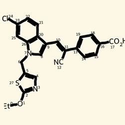 CCOc1ncc(Cn2cc(/C=C(\C#N)c3ccc(C(=O)O)cc3)c3ccc(Cl)cc32)s1